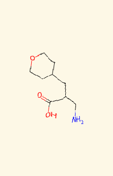 NCC(CC1CCOCC1)C(=O)O